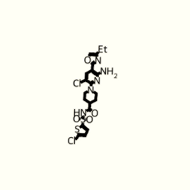 CCc1coc(-c2cc(Cl)c(N3CCC(C(=O)NS(=O)(=O)c4ccc(Cl)s4)CC3)nc2N)n1